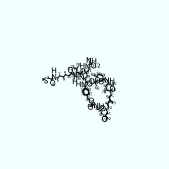 CSCC(=O)NCCCCCC(=O)N[C@H](C(=O)N[C@@H](CCCNC(N)=O)C(=O)Nc1ccc(COC(=O)NC[C@@H]2C[C@@]3(CO3)C[C@@H](/C=C/C(C)=C/C[C@@H]3O[C@H](C)[C@H](NC(=O)/C=C\[C@H](C)OC(C)=O)C[C@@H]3C)O2)cc1)C(C)C